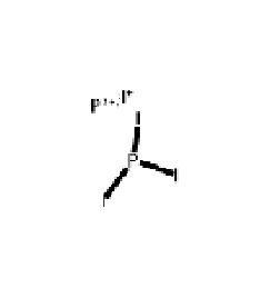 IP(I)I.[I+].[P+3]